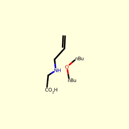 C=CCNCC(=O)O.CCCCOCCCC